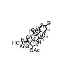 CC(=O)O[C@H]1C[C@@]2(C)[C@@H](C[C@@H](OC(C)=O)[C@]2(OC(C)=O)C(=O)C(=O)O)[C@@H]2CCC3=CC(=O)C=C[C@]3(C)[C@@]12F